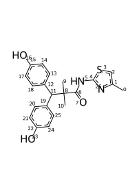 Cc1csc(NC(=O)C(C)(C)C(c2ccc(O)cc2)c2ccc(O)cc2)n1